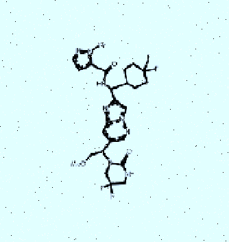 COCC(c1cnn2cc(C(NC(=O)c3ccnn3C(C)C)C3CCC(F)(F)CC3)nc2c1)N1CC(F)(F)CNC1=O